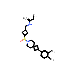 C=C(CC)NCC1CC([S+]([O-])N2CCC3(CC2)CC(c2ccc(C)c(C)c2)C3)C1